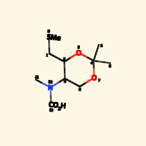 CSCC1OC(C)(C)OCC1N(C)C(=O)O